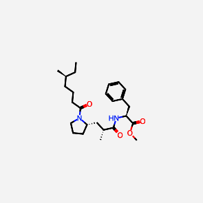 CC[C@H](C)CCCC(=O)N1CCC[C@H]1C[C@@H](C)C(=O)N[C@@H](Cc1ccccc1)C(=O)OC